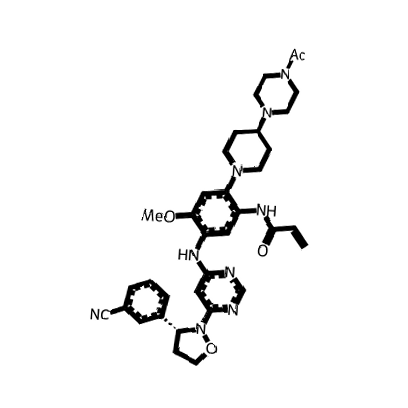 C=CC(=O)Nc1cc(Nc2cc(N3OCC[C@@H]3c3cccc(C#N)c3)ncn2)c(OC)cc1N1CCC(N2CCN(C(C)=O)CC2)CC1